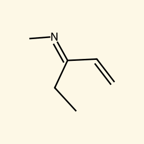 C=C/C(CC)=N/C